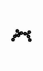 c1ccc(-c2ccc(N(c3ccccc3)c3ccc(-c4ccc5c(c4)c4ccc6c7cc(-c8ccccc8)ccc7sc6c4n5-c4ccccc4)cc3)cc2)cc1